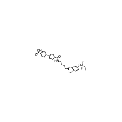 CC(=O)c1ccc(-c2ccc(C(=O)NCCCCN3CCc4ccc(OC(F)(F)CF)cc4C3)cc2)cc1